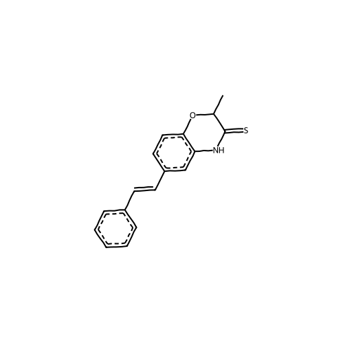 CC1Oc2ccc(C=Cc3ccccc3)cc2NC1=S